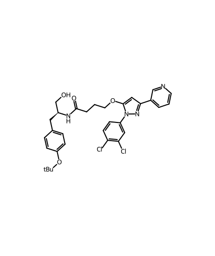 CC(C)(C)Oc1ccc(C[C@@H](CO)NC(=O)CCCOc2cc(-c3cccnc3)nn2-c2ccc(Cl)c(Cl)c2)cc1